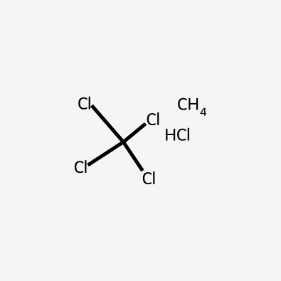 C.Cl.ClC(Cl)(Cl)Cl